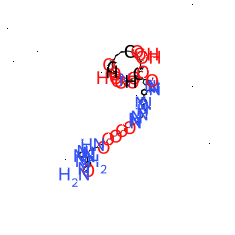 CO[C@H]1C[C@@H]2CC[C@@H](C)[C@@](O)(O2)C(=O)C(=O)N2CCCC[C@H]2C(=O)OC([C@H](C)C[C@@H]2CC[C@H](n3nncc3-c3cccc(-c4cnc(N5CCN(Cc6cn(CCOCCOCCOCCOCCC(=O)NCCCCn7nc(-c8ccc9oc(N)nc9c8)c8c(N)ncnc87)nn6)CC5)nc4)c3)[C@H](OC)C2)CC(=O)[C@H](C)/C=C(\C)[C@@H](O)[C@@H](O)C(=O)[C@H](C)C[C@H](C)/C=C/C=C/C=C/1C